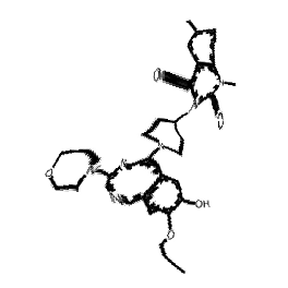 CCOc1cc2nc(N3CCOCC3)nc(N3CCC(n4c(=O)c5cc(C)ccc5n(C)c4=O)CC3)c2cc1O